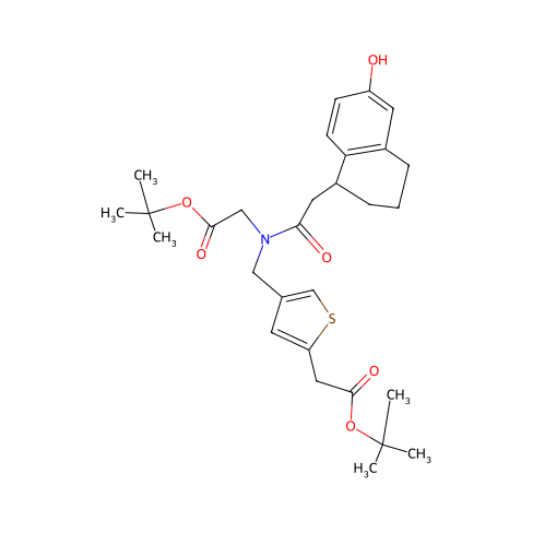 CC(C)(C)OC(=O)Cc1cc(CN(CC(=O)OC(C)(C)C)C(=O)CC2CCCc3cc(O)ccc32)cs1